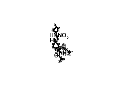 Cc1ccc(NC(=CNC2CCc3sc(NC(=O)C4CC4)c(C(=O)NCC4CC4)c3C2)[N+](=O)[O-])cc1